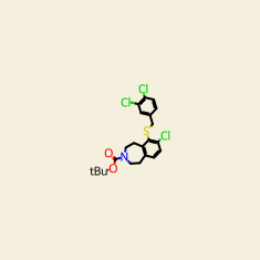 CC(C)(C)OC(=O)N1CCc2ccc(Cl)c(SCc3ccc(Cl)c(Cl)c3)c2CC1